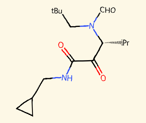 CC(C)[C@H](C(=O)C(=O)NCC1CC1)N(C=O)CC(C)(C)C